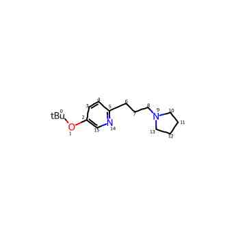 CC(C)(C)Oc1ccc(CCCN2CCCC2)nc1